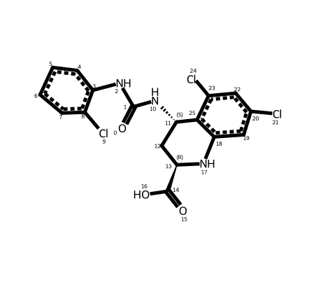 O=C(Nc1ccccc1Cl)N[C@H]1C[C@H](C(=O)O)Nc2cc(Cl)cc(Cl)c21